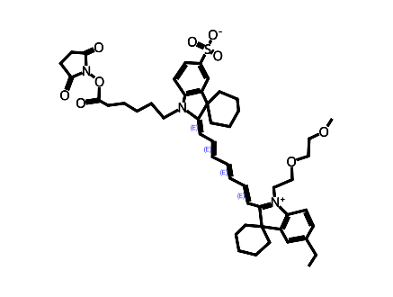 CCc1ccc2c(c1)C1(CCCCC1)C(/C=C/C=C/C=C/C=C1/N(CCCCCC(=O)ON3C(=O)CCC3=O)c3ccc(S(=O)(=O)[O-])cc3C13CCCCC3)=[N+]2CCOCCOC